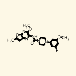 COc1cc(F)cc(N2CCN(C(=O)Nc3nc4cc(C)oc4nc3OC)CC2)c1